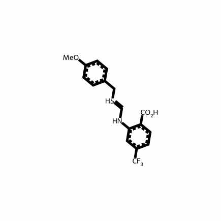 COc1ccc(C[SH]=CNc2cc(C(F)(F)F)ccc2C(=O)O)cc1